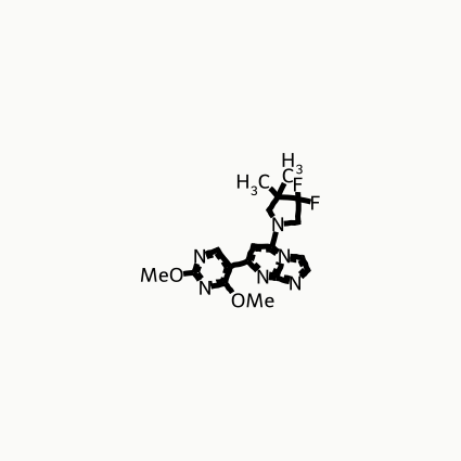 COc1ncc(-c2cc(N3CC(C)(C)C(F)(F)C3)n3ccnc3n2)c(OC)n1